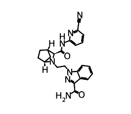 N#Cc1cccc(NC(=O)[C@@H]2[C@H]3CC[C@H](C3)N2CCn2nc(C(N)=O)c3ccccc32)n1